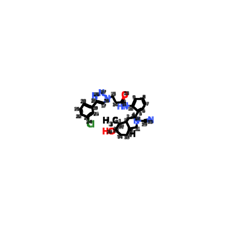 C[C@@H]1C2C[C@@H](c3ccccc3NC(=O)CCn3cc(-c4cccc(Cl)c4)nn3)N(C#N)C[C@@H]2CC[C@@H]1O